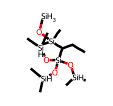 CCC([Si](C)(C)O[SiH3])[Si](O[SiH](C)C)(O[SiH](C)C)O[SiH](C)C